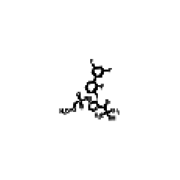 COCS(=O)(=O)N[C@H]1CCN(C(=O)C(C)(C)O)[C@H]1Cc1cccc(-c2cc(F)cc(F)c2)c1F